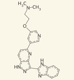 CN(C)CCOc1cncc(-c2ccc3[nH]nc(-c4nc5ccccc5[nH]4)c3n2)c1